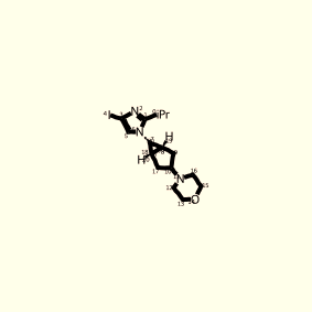 CC(C)c1nc(I)cn1[C@@H]1[C@@H]2CC(N3CCOCC3)C[C@@H]21